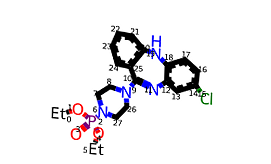 CCOP(=O)(OCC)N1CCN(C2=Nc3cc(Cl)ccc3Nc3ccccc32)CC1